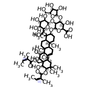 C/C=C(/C)C(=O)OC[C@@]12C(CC(C)(C)[C@@H](OC(=O)/C(C)=C\C)[C@@H]1O)C1=CCC3[C@@]4(C)CC[C@H](O[C@@H]5OC(C(=O)O)[C@@H](O)[C@@H](O[C@@H]6O[C@@H](CO)[C@@H](O)C6O)C5O[C@@H]5OC(CO)[C@H](O)[C@@H](O)C5O)C(C)(C)C4CC[C@@]3(C)[C@]1(C)[C@@H](O)[C@H]2O